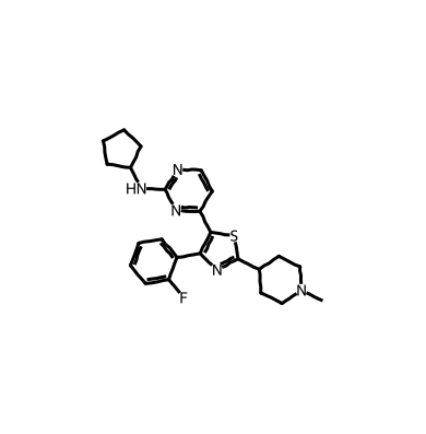 CN1CCC(c2nc(-c3ccccc3F)c(-c3ccnc(NC4CCCC4)n3)s2)CC1